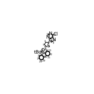 CC(C)(C)[Si](OC[C@H]1CC[C@@H](n2cnc3c(Cl)ncnc32)S1)(c1ccccc1)c1ccccc1